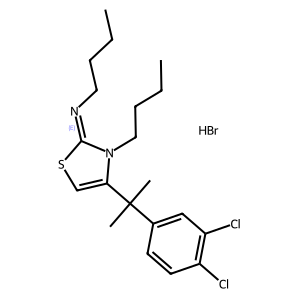 Br.CCCC/N=c1/scc(C(C)(C)c2ccc(Cl)c(Cl)c2)n1CCCC